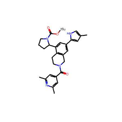 Cc1c[nH]c(-c2cc3c(c(C4CCCN4C(=O)OC(C)(C)C)c2)CCN(C(=O)c2cc(C)nc(C)c2)C3)c1